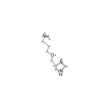 NCCCOCc1c[nH]cn1